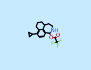 O=C(OC1NCCC2CCCc3c(C4CC4)ccc1c32)C(F)(F)F